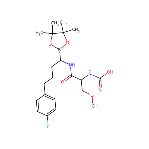 COCC(NC(=O)O)C(=O)NC(CCCc1ccc(Cl)cc1)B1OC(C)(C)C(C)(C)O1